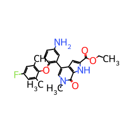 CCOC(=O)c1cc2c(-c3cc(N)ccc3Oc3c(C)cc(F)cc3C)cn(C)c(=O)c2[nH]1